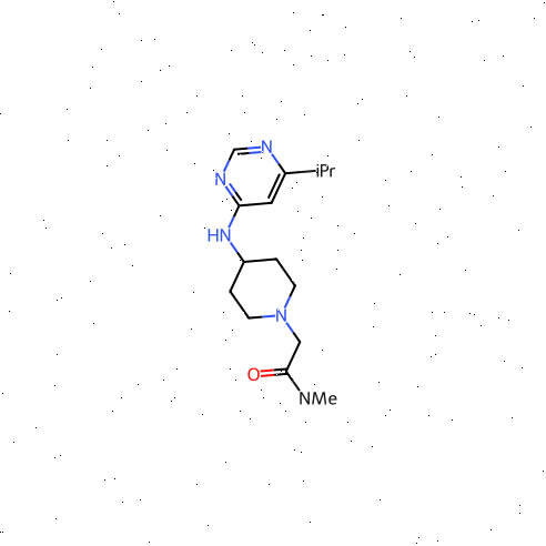 CNC(=O)CN1CCC(Nc2cc(C(C)C)ncn2)CC1